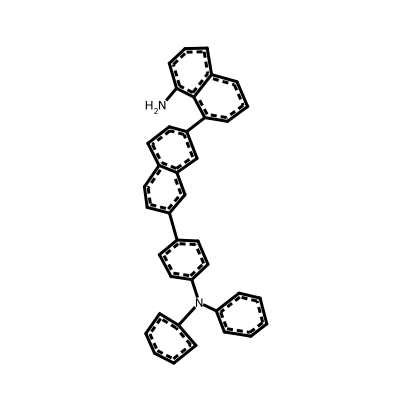 Nc1cccc2cccc(-c3ccc4ccc(-c5ccc(N(c6ccccc6)c6ccccc6)cc5)cc4c3)c12